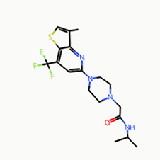 Cc1csc2c(C(F)(F)F)cc(N3CCN(CC(=O)NC(C)C)CC3)nc12